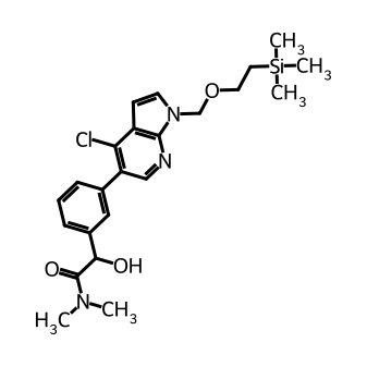 CN(C)C(=O)C(O)c1cccc(-c2cnc3c(ccn3COCC[Si](C)(C)C)c2Cl)c1